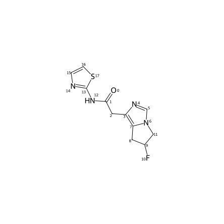 O=C(Cc1ncn2c1CC(F)C2)Nc1nccs1